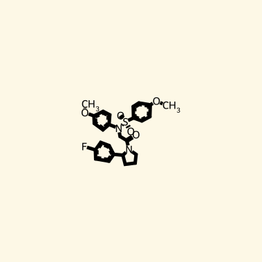 COc1ccc(N(CC(=O)N2CCCC2c2ccc(F)cc2)S(=O)(=O)c2ccc(OC)cc2)cc1